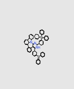 C1=CCC2C(=C1)C1C=CC=C3c4ccccc4C4=C(C5C=CC=C([SiH](c6ccccc6)c6ccccc6)C5)NC(C5C=C([Si](c6ccccc6)(c6ccccc6)C6C=CCCC6)C=CC5)N=C4N2C31